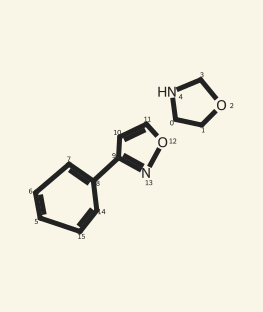 C1COCN1.c1ccc(-c2ccon2)cc1